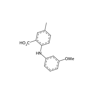 COc1cccc(Nc2ccc(C)cc2C(=O)O)c1